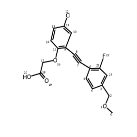 COCc1ccc(C#Cc2cc(Cl)ccc2OCC(=O)O)c(F)c1